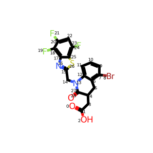 O=C(O)CC1Cc2c(Br)cccc2N(Cc2nc3c(F)c(F)cc(F)c3s2)C1=O